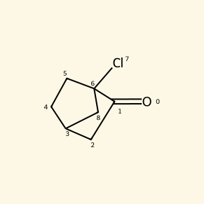 O=C1CC2CCC1(Cl)C2